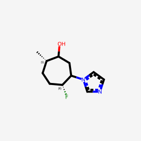 C[C@H]1CC[C@@H](F)C(n2ccnc2)CC1O